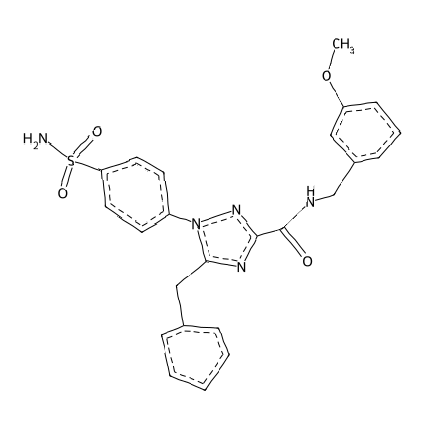 COc1cccc(CNC(=O)c2nc(Cc3ccccc3)n(-c3ccc(S(N)(=O)=O)cc3)n2)c1